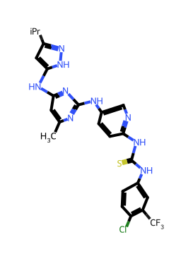 Cc1cc(Nc2cc(C(C)C)n[nH]2)nc(Nc2ccc(NC(=S)Nc3ccc(Cl)c(C(F)(F)F)c3)nc2)n1